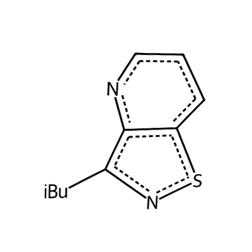 CCC(C)c1nsc2cccnc12